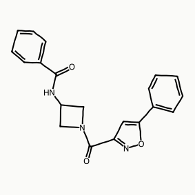 O=C(NC1CN(C(=O)c2cc(-c3ccccc3)on2)C1)c1ccccc1